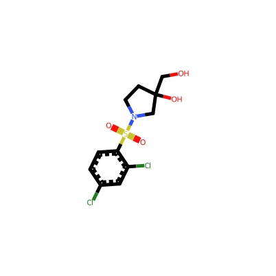 O=S(=O)(c1ccc(Cl)cc1Cl)N1CCC(O)(CO)C1